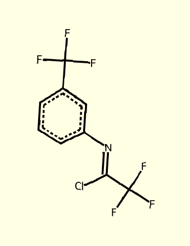 FC(F)(F)/C(Cl)=N/c1cccc(C(F)(F)F)c1